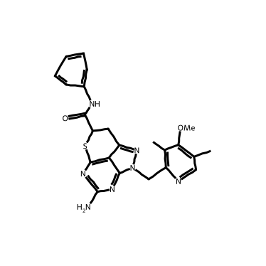 COc1c(C)cnc(Cn2nc3c4c(nc(N)nc42)SC(C(=O)Nc2ccccc2)C3)c1C